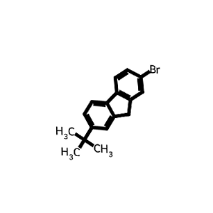 CC(C)(C)c1ccc2c(c1)Cc1cc(Br)ccc1-2